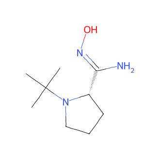 CC(C)(C)N1CCC[C@H]1C(N)=NO